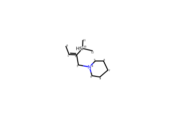 CC=C(CN1CCCCC1)[SiH](C)C